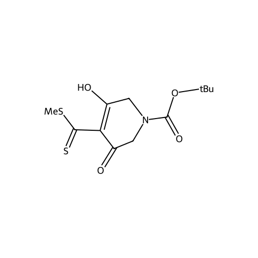 CSC(=S)C1=C(O)CN(C(=O)OC(C)(C)C)CC1=O